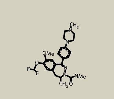 CNC(=O)N1N=C(c2ccc(N3CCN(C)CC3)cc2)c2cc(OC)c(OC(F)F)cc2CC1C